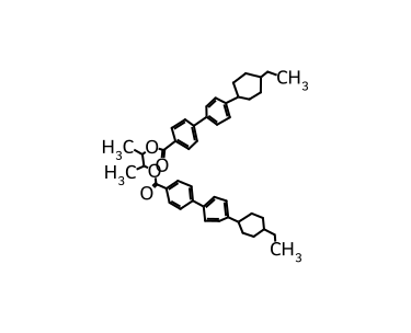 CCC1CCC(c2ccc(-c3ccc(C(=O)OC(C)C(C)OC(=O)c4ccc(-c5ccc(C6CCC(CC)CC6)cc5)cc4)cc3)cc2)CC1